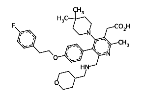 Cc1nc(CNCC2CCOCC2)c(-c2ccc(OCCc3ccc(F)cc3)cc2)c(N2CCC(C)(C)CC2)c1CC(=O)O